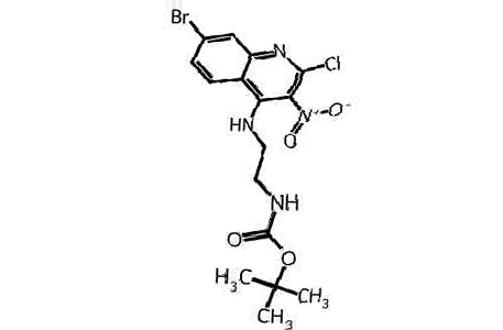 CC(C)(C)OC(=O)NCCNc1c([N+](=O)[O-])c(Cl)nc2cc(Br)ccc12